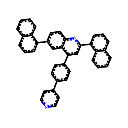 c1ccc2c(-c3ccc4nc(-c5cccc6ccccc56)cc(-c5ccc(-c6ccncc6)cc5)c4c3)cccc2c1